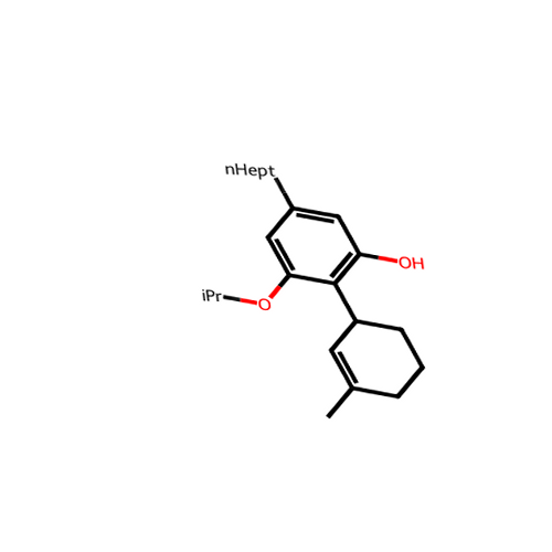 CCCCCCCc1cc(O)c(C2C=C(C)CCC2)c(OC(C)C)c1